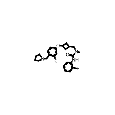 CN(CC1CC(Oc2ccc(CN3CCCC3)c(Cl)c2)C1)C(=O)Nc1ccccc1F